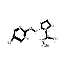 CCc1cnc(OC[C@@H]2CCCN2C(O)OC(C)(C)C)nc1